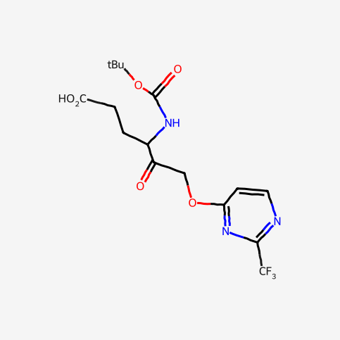 CC(C)(C)OC(=O)NC(CCC(=O)O)C(=O)COc1ccnc(C(F)(F)F)n1